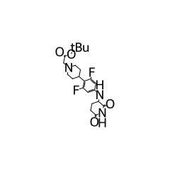 CC(C)(C)OC(=O)CN1CCC(c2c(F)cc(NC3CCC(=O)NC3=O)cc2F)CC1